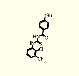 CC(C)(C)c1ccc(C(=O)NC(=S)Nc2cccc(C(F)(F)F)c2Cl)cc1